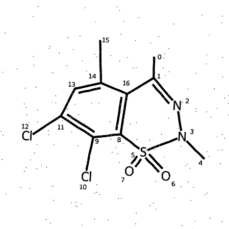 CC1=NN(C)S(=O)(=O)c2c(Cl)c(Cl)cc(C)c21